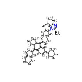 CCc1nc2c(n1-c1ccc3cc(-c4c5ccccc5c(-c5ccc6ccccc6c5)c5ccc(-c6ccccc6)cc45)ccc3c1)C(C)CC=C2